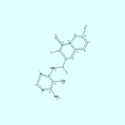 Cc1c(C(C)Nc2ncnc(N)c2C#N)cc2ccc(F)cn2c1=O